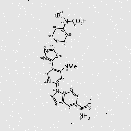 CNc1cc(-n2ccc3cc(C(N)=O)cnc32)ncc1-c1nnc([C@H]2CC[C@H](N(C(=O)O)C(C)(C)C)CC2)s1